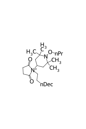 CCCCCCCCCCCC[N+]1(C2CC(C)(C)N(OCCC)C(C)(C)C2)C(=O)CCC1=O